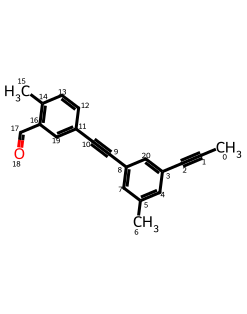 CC#Cc1cc(C)cc(C#Cc2ccc(C)c(C=O)c2)c1